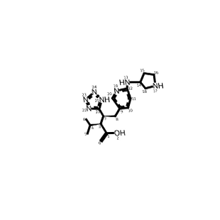 C=C(O)[C@@H](C(C)C)[C@H](Cc1ccc(NC2CCNC2)nc1)c1nnn[nH]1